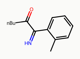 CCCCC(=O)C(=N)c1ccccc1C